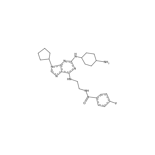 NC1CCC(Nc2nc(NCCNC(=O)c3ccc(F)cc3)c3ncn(C4CCCC4)c3n2)CC1